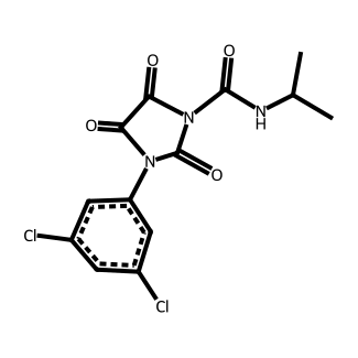 CC(C)NC(=O)N1C(=O)C(=O)N(c2cc(Cl)cc(Cl)c2)C1=O